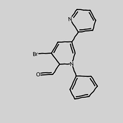 O=CC1C(Br)=CC(c2ccccn2)=CN1c1ccccc1